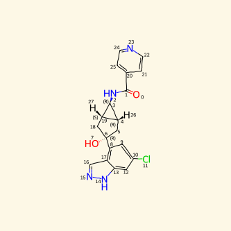 O=C(N[C@H]1[C@@H]2C[C@@](O)(c3cc(Cl)cc4[nH]ncc34)C[C@@H]21)c1ccncc1